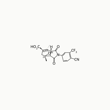 C[C@]12O[C@@](C)(C[C@H]1C(=O)O)C1C(=O)N(c3ccc(C#N)c(C(F)(F)F)c3)C(=O)[C@H]12